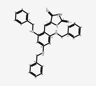 O=C1NC(=S)S/C1=C\c1c(OCc2ccccc2)cc(OCc2ccccc2)cc1OCc1ccccc1